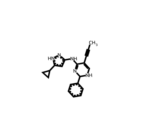 CC#CC1=CNC(c2ccccc2)N=C1Nc1cc(C2CC2)[nH]n1